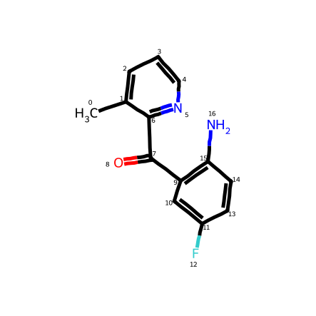 Cc1cccnc1C(=O)c1cc(F)ccc1N